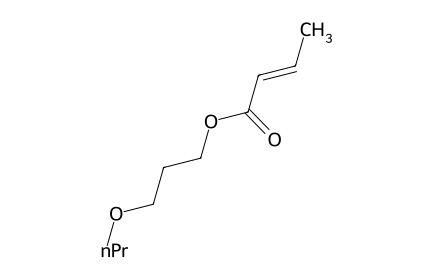 [CH2]CCOCCCOC(=O)C=CC